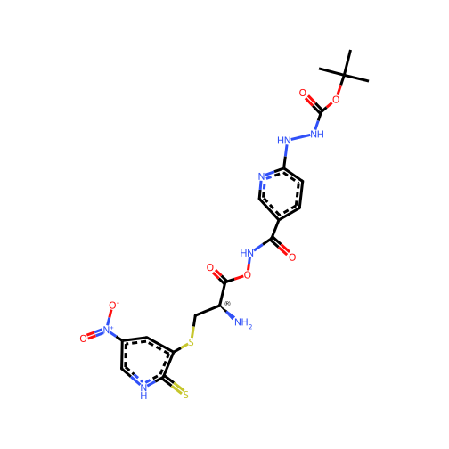 CC(C)(C)OC(=O)NNc1ccc(C(=O)NOC(=O)[C@@H](N)CSc2cc([N+](=O)[O-])c[nH]c2=S)cn1